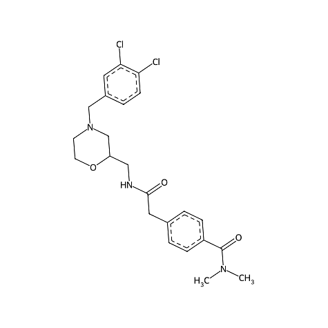 CN(C)C(=O)c1ccc(CC(=O)NCC2CN(Cc3ccc(Cl)c(Cl)c3)CCO2)cc1